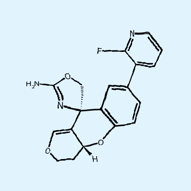 NC1=N[C@]2(CO1)C1=COCC[C@H]1Oc1ccc(-c3cccnc3F)cc12